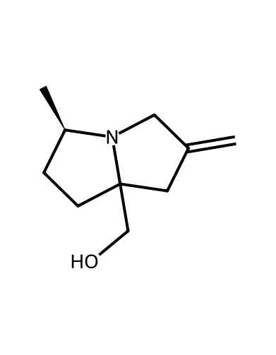 C=C1CN2[C@H](C)CCC2(CO)C1